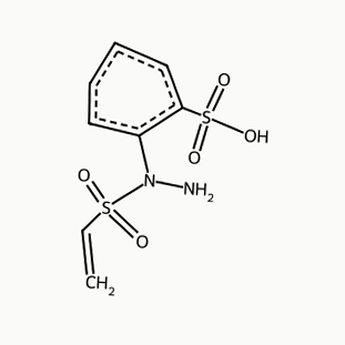 C=CS(=O)(=O)N(N)c1ccccc1S(=O)(=O)O